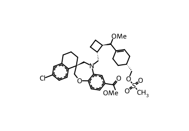 COC(=O)c1ccc2c(c1)N(C[C@@H]1CC[C@H]1C(OC)C1=CC[C@H](COS(C)(=O)=O)CC1)C[C@@]1(CCCc3cc(Cl)ccc31)CO2